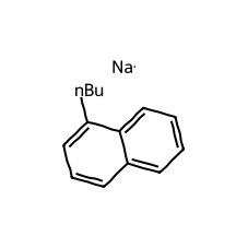 CCCCc1cccc2ccccc12.[Na]